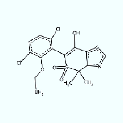 BCOc1c(Cl)ccc(Cl)c1C1=C(O)c2scnc2C(C)(C)S1(=O)=O